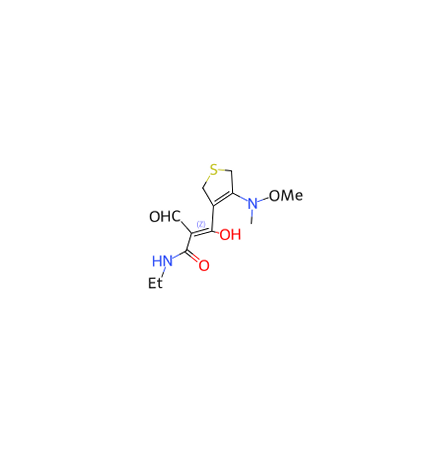 CCNC(=O)/C(C=O)=C(\O)C1=C(N(C)OC)CSC1